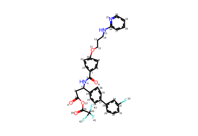 O=C(CC(NC(=O)c1ccc(OCCCNc2ccccn2)cc1)c1ccc(-c2cccc(F)c2)cc1)OC(=O)C(F)(F)F